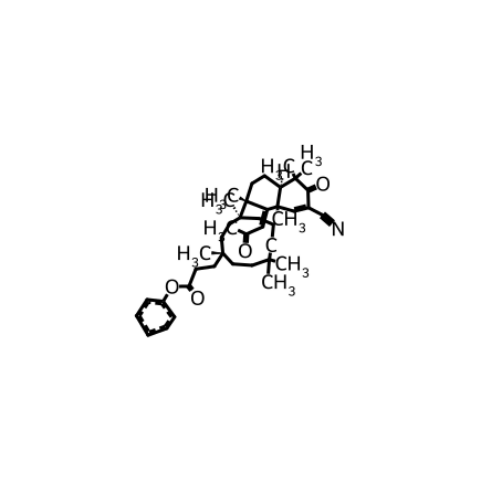 CC(=O)/C=C1/[C@@]2(C)C=C(C#N)C(=O)C(C)(C)[C@@H]2CC[C@@]1(C)[C@@]1(C)CCCC(C)(C)CC[C@](C)(CCC(=O)Oc2ccccc2)CC1